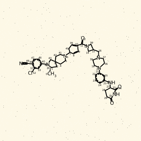 C[C@@H]1CC2(CCN(C3C=CC(C(=O)N4CC(CN5CCN(c6cccc(NC7CCC(=O)NC7=O)c6)CC5)C4)=CC3)CC2)CN1c1ccc(C#N)c(Cl)c1